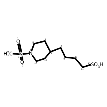 CS(=O)(=O)N1CCC(CCCCS(=O)(=O)O)CC1